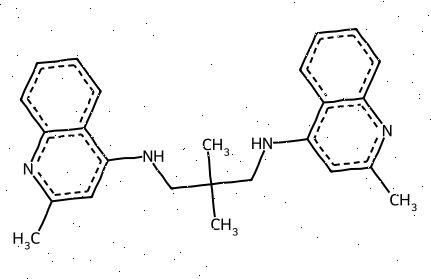 Cc1cc(NCC(C)(C)CNc2cc(C)nc3ccccc23)c2ccccc2n1